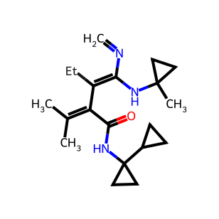 C=N/C(NC1(C)CC1)=C(\CC)C(C(=O)NC1(C2CC2)CC1)=C(C)C